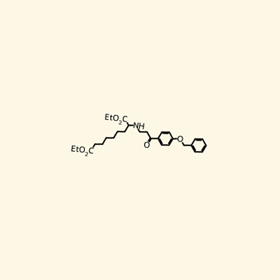 CCOC(=O)CCCCCCC(NCCC(=O)c1ccc(OCc2ccccc2)cc1)C(=O)OCC